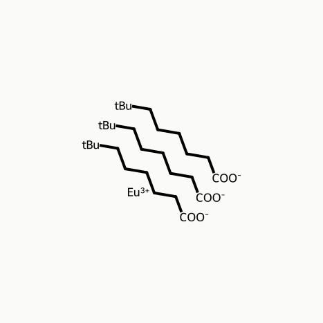 CC(C)(C)CCCCCC(=O)[O-].CC(C)(C)CCCCCC(=O)[O-].CC(C)(C)CCCCCC(=O)[O-].[Eu+3]